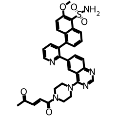 COc1ccc2c(-c3cccnc3-c3ccc4ncnc(N5CCN(C(=O)C=CC(C)=O)CC5)c4c3)cccc2c1S(N)(=O)=O